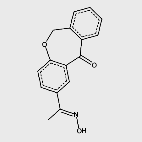 CC(=NO)c1ccc2c(c1)C(=O)c1ccccc1CO2